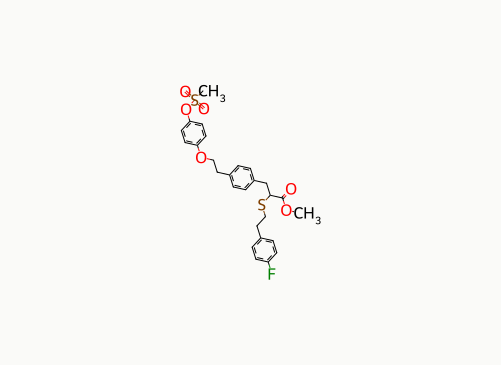 COC(=O)C(Cc1ccc(CCOc2ccc(OS(C)(=O)=O)cc2)cc1)SCCc1ccc(F)cc1